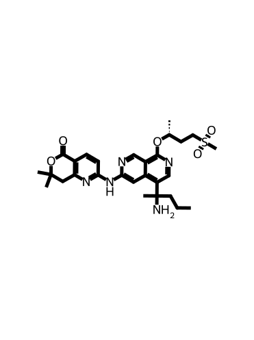 CCCC(C)(N)c1cnc(O[C@H](C)CCS(C)(=O)=O)c2cnc(Nc3ccc4c(n3)CC(C)(C)OC4=O)cc12